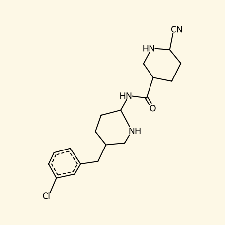 N#CC1CCC(C(=O)NC2CCC(Cc3cccc(Cl)c3)CN2)CN1